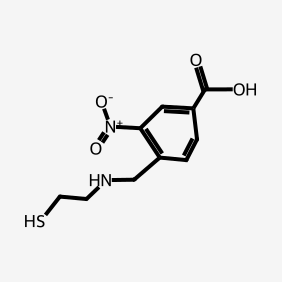 O=C(O)c1ccc(CNCCS)c([N+](=O)[O-])c1